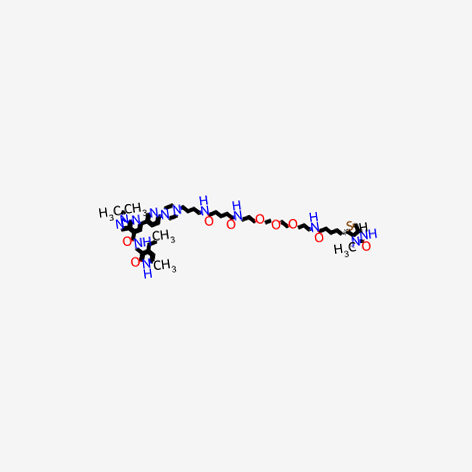 CCCc1cc(C)[nH]c(=O)c1CNC(=O)c1cc(-c2ccc(N3CCN(CCCCNC(=O)CCCC(=O)NCCCOCCOCCOCCCNC(=O)CCCC[C@@H]4SC[C@@H]5NC(=O)N(C)C54)CC3)nc2)nc2c1cnn2C(C)C